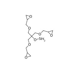 [SiH3]OC(COCC1CO1)(COCC1CO1)COCC1CO1